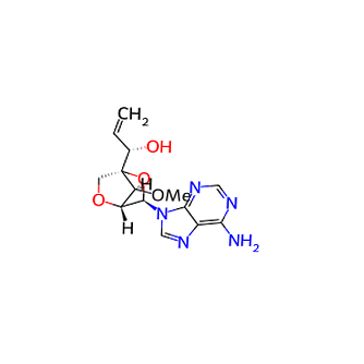 C=C[C@H](O)[C@@]12CO[C@@H]([C@H](n3cnc4c(N)ncnc43)O1)[C@@H]2OC